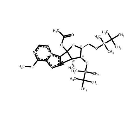 CSc1ncnn2c(C3(OC(C)=O)O[C@H](CO[Si](C)(C)C(C)(C)C)[C@@H](O[Si](C)(C)C(C)(C)C)[C@@]3(C)C#N)cnc12